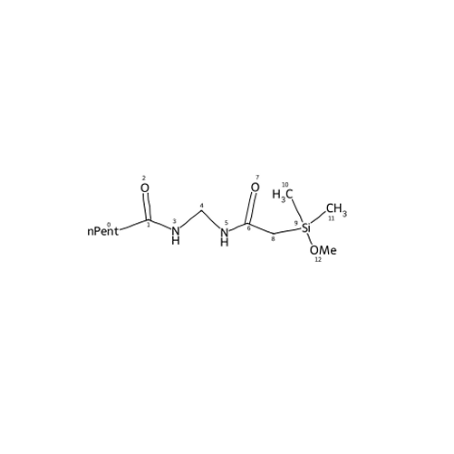 CCCCCC(=O)NCNC(=O)C[Si](C)(C)OC